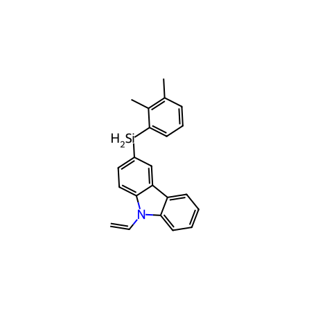 C=Cn1c2ccccc2c2cc([SiH2]c3cccc(C)c3C)ccc21